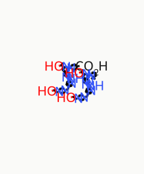 CC(O)c1cc2cnc(Nc3ccc(CN4CCN(CCO)CC4)cn3)nc2c(N2CCC(C(=O)O)CC2)n1.CC(O)c1cc2cnc(Nc3ccc(CN4CCN(CCO)CC4)cn3)nc2c(N2CCCC2(C)C)n1